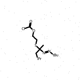 CC(C)CC(C)(N=NC(C)(C)C)SCCOC(=O)Cl